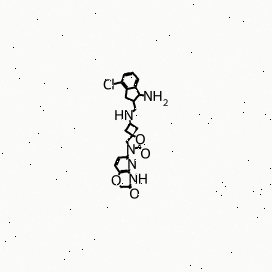 NC1c2cccc(Cl)c2CC1CN[C@H]1C[C@@]2(CN(c3ccc4c(n3)NC(=O)CO4)C(=O)O2)C1